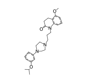 COc1cccc2c1CCC(=O)N2CCCN1CCN(c2cccc(OC(C)C)c2)CC1